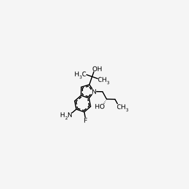 CC[C@H](O)Cn1c(C(C)(C)O)cc2cc(N)c(F)cc21